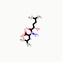 CC(C)CC[C@H](O)C(=O)N(N)C(CC(C)C)C(=O)O